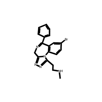 CNCCc1nnc2n1-c1ccc(Br)cc1C(c1ccccc1)=NC2